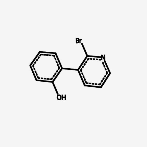 Oc1ccccc1-c1cccnc1Br